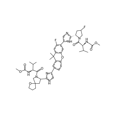 COC(=O)N[C@H](C(=O)N1CC2(CCCO2)CC1c1nc(-c2ccc3c(c2)C(C)(C)c2cc(F)c(-c4cnc([C@@H]5CC(F)CN5C(=O)[C@@H](NC(=O)OC)C(C)C)[nH]4)cc2O3)c[nH]1)C(C)C